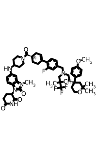 COc1ccc([C@]2(CCN(Cc3ccc(C4=CC[C@H](C(=O)N5CCC(Nc6ccc7c(c6)n(C)c(=O)n7C6CCC(=O)NC6=O)CC5)CC4)c(F)c3)CC(C)(C)C(F)(F)F)CCOC(C)(C)C2)cc1